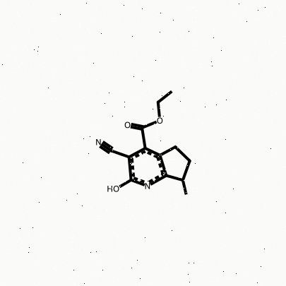 CCOC(=O)c1c(C#N)c(O)nc2c1CCC2C